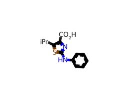 CC(C)c1sc(Nc2ccccc2)nc1C(=O)O